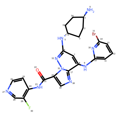 N[C@H]1CC[C@H](Nc2cc(Nc3cccc(Br)n3)c3ncc(C(=O)Nc4ccncc4F)n3n2)CC1